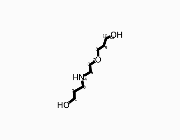 OCCCNCCOCCCO